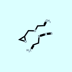 C=CCN=C=S.C=CCOCC1CO1